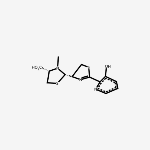 CN1[C@@H](C(=O)O)CS[C@H]1C1CSC(c2ncccc2O)=N1